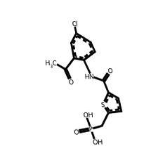 CC(=O)c1cc(Cl)ccc1NC(=O)c1ccc(CP(=O)(O)O)s1